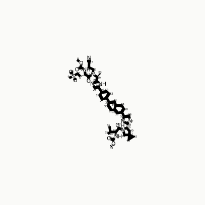 COC(=O)N[C@@H](CCS(C)(=O)=O)C(=O)N(CCC#N)[C@@H](C)c1ncc(-c2ccc(-c3ccc4cc(-c5cnc([C@@H]6CC7(CC7)CN6C(=O)[C@@H](NC(=O)OC)C(C)C)[nH]5)ccc4c3)cc2)[nH]1